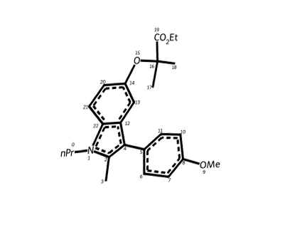 CCCn1c(C)c(-c2ccc(OC)cc2)c2cc(OC(C)(C)C(=O)OCC)ccc21